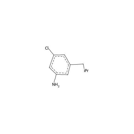 CC(C)Cc1cc(N)cc(Cl)c1